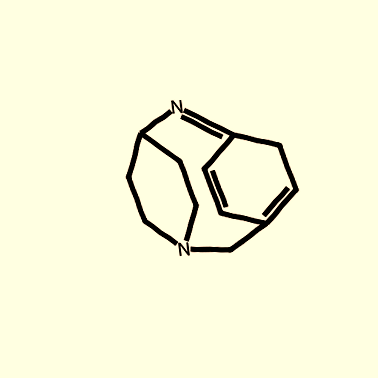 C1=C/C2=N\C3CCN(CC3)CC1=CC2